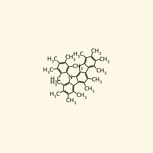 Cc1c(C)c(C)c(-n2c3c(C)c(C)c(C)c(C)c3c3c(C)c(C)c4c(c32)Cc2c(C)c(C)c(C)c(C)c2-4)c(C)c1C